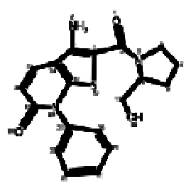 Nc1c(C(=O)N2CCCC2CO)sc2c1ccc(=O)n2-c1ccccc1